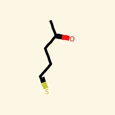 CC(=O)CCC=S